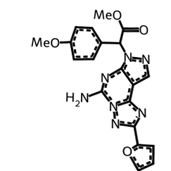 COC(=O)C(c1ccc(OC)cc1)n1ncc2c1nc(N)n1nc(-c3ccco3)nc21